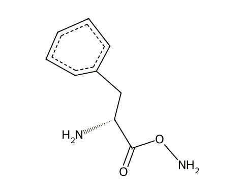 NOC(=O)[C@H](N)Cc1ccccc1